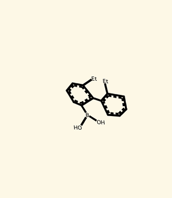 CCc1ccccc1-c1c(CC)cccc1B(O)O